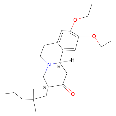 CCCC(C)(C)C[C@@H]1CN2CCc3cc(OCC)c(OCC)cc3[C@H]2CC1=O